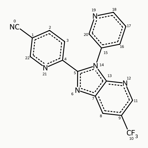 N#Cc1ccc(-c2nc3cc(C(F)(F)F)cnc3n2-c2cccnc2)nc1